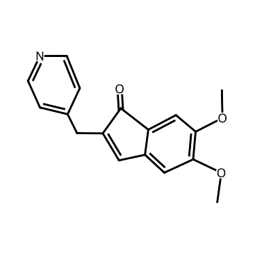 COc1cc2c(cc1OC)C(=O)C(Cc1ccncc1)=C2